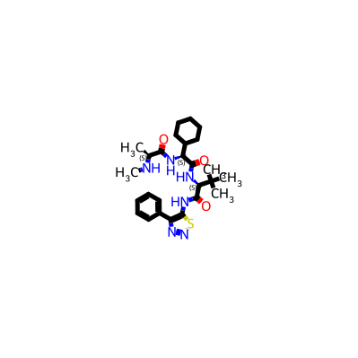 CN[C@@H](C)C(=O)N[C@H](C(=O)N[C@H](C(=O)Nc1snnc1-c1ccccc1)C(C)(C)C)C1CCCCC1